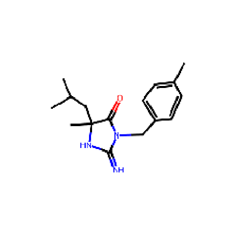 Cc1ccc(CN2C(=N)NC(C)(CC(C)C)C2=O)cc1